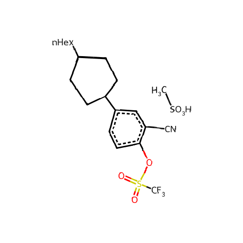 CCCCCCC1CCC(c2ccc(OS(=O)(=O)C(F)(F)F)c(C#N)c2)CC1.CS(=O)(=O)O